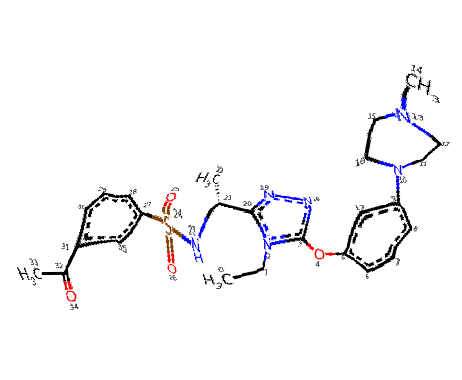 CCn1c(Oc2cccc(N3CCN(C)CC3)c2)nnc1[C@@H](C)NS(=O)(=O)c1cccc(C(C)=O)c1